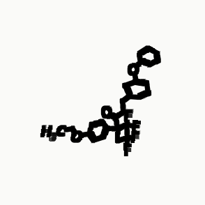 CCOc1ccc(C2(C(=O)CCc3cccc(Oc4ccccc4)c3)CC(F)(F)C2(F)F)cc1